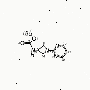 CC(C)(C)OC(=O)NC1CN(c2ncccn2)C1